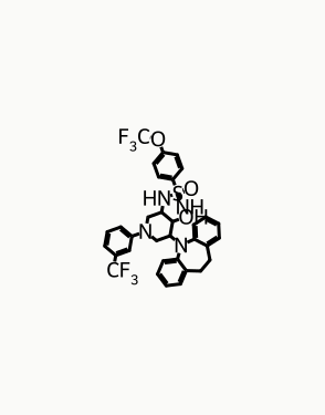 N=S(=O)(NC1CN(c2cccc(C(F)(F)F)c2)CC(N2c3ccccc3CCc3ccccc32)C1O)c1ccc(OC(F)(F)F)cc1